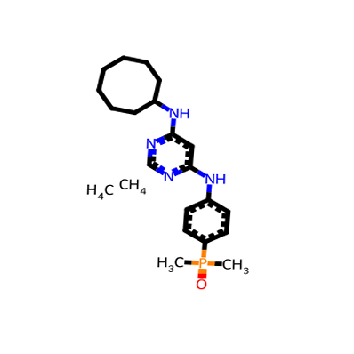 C.C.CP(C)(=O)c1ccc(Nc2cc(N[C]3CCCCCCC3)ncn2)cc1